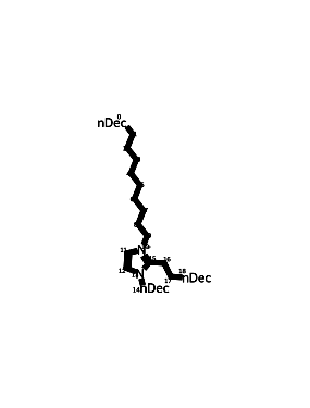 CCCCCCCCCCCCCCCCCCC[n+]1ccn(CCCCCCCCCC)c1CCCCCCCCCCCC